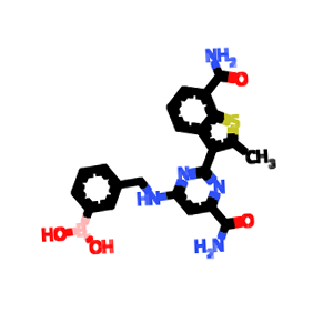 Cc1sc2c(C(N)=O)cccc2c1-c1nc(NCc2cccc(B(O)O)c2)cc(C(N)=O)n1